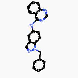 c1ccc(Cn2ncc3cc(Nc4ncnc5ccccc45)ccc32)cc1